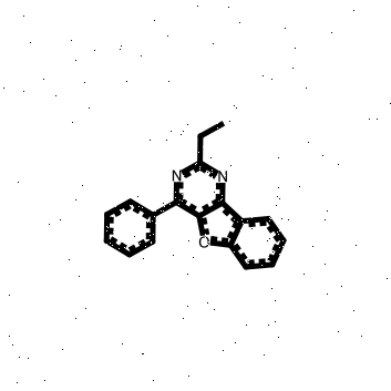 CCc1nc(-c2ccccc2)c2oc3ccccc3c2n1